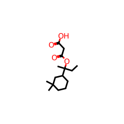 CCC(C)(OC(=O)CC(=O)O)C1CCCC(C)(C)C1